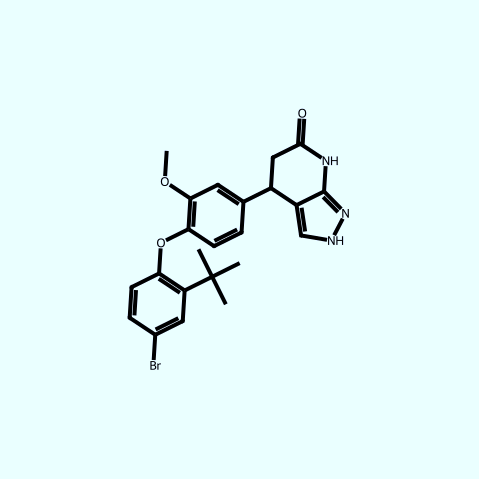 COc1cc(C2CC(=O)Nc3n[nH]cc32)ccc1Oc1ccc(Br)cc1C(C)(C)C